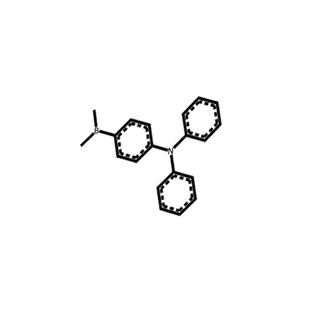 CB(C)c1ccc(N(c2ccccc2)c2ccccc2)cc1